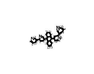 c1cncc(-c2ccc(-c3c4ccccc4c(-c4ccnc(-c5cccnc5)c4)c4ccccc34)cn2)c1